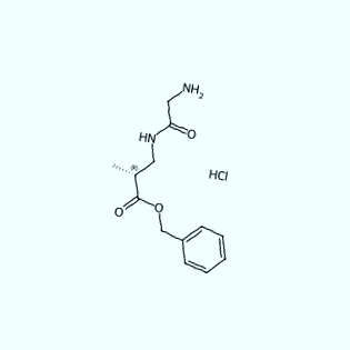 C[C@H](CNC(=O)CN)C(=O)OCc1ccccc1.Cl